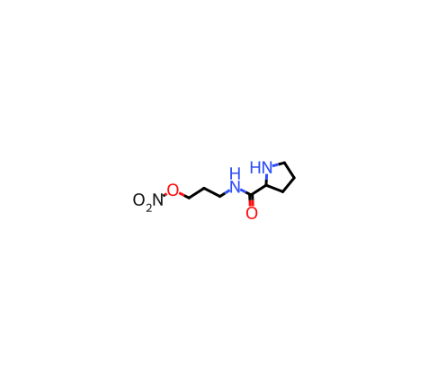 O=C(NCCCO[N+](=O)[O-])C1CCCN1